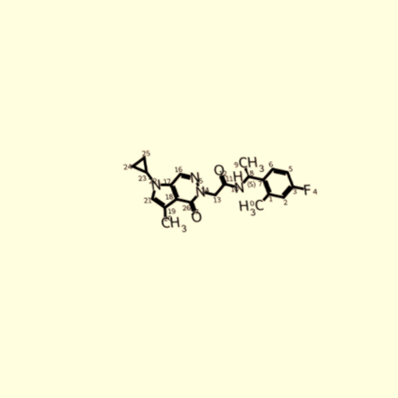 Cc1cc(F)ccc1[C@H](C)NC(=O)Cn1ncc2c(c(C)cn2C2CC2)c1=O